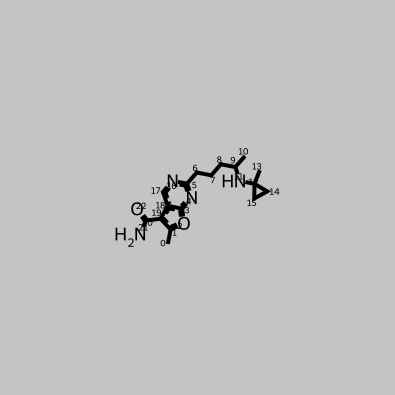 Cc1oc2nc(CCCC(C)NC3(C)CC3)ncc2c1C(N)=O